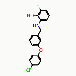 Oc1c(F)cccc1NCc1cccc(Oc2ccc(Cl)cc2)c1